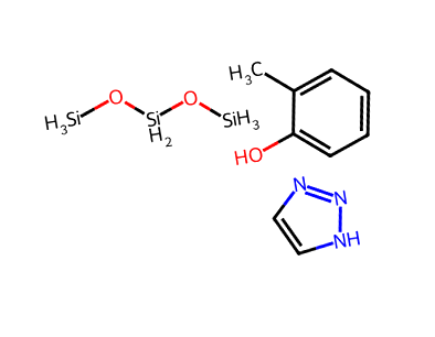 Cc1ccccc1O.[SiH3]O[SiH2]O[SiH3].c1c[nH]nn1